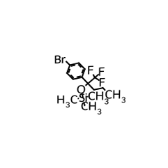 CCCC(O[Si](C)(C)C)(c1ccc(Br)cc1)C(F)(F)F